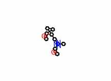 c1ccc(-c2nc(-c3ccc(-c4ccc(C5(c6ccc7oc8ccccc8c7c6)c6ccccc6-c6ccccc65)cc4)cc3)nc(-c3ccc4oc5ccccc5c4c3)n2)cc1